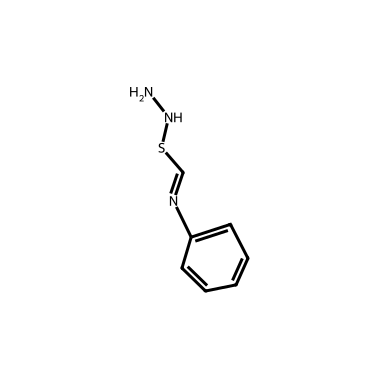 NNSC=Nc1ccccc1